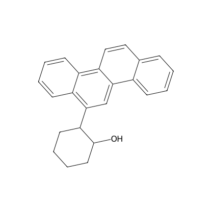 OC1CCCCC1c1cc2c3ccccc3ccc2c2ccccc12